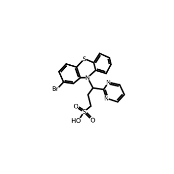 O=S(=O)(O)CCC(c1ncccn1)N1c2ccccc2Sc2ccc(Br)cc21